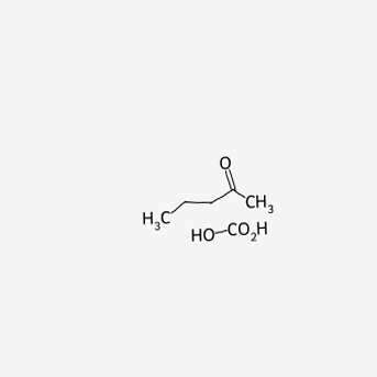 CCCC(C)=O.O=C(O)O